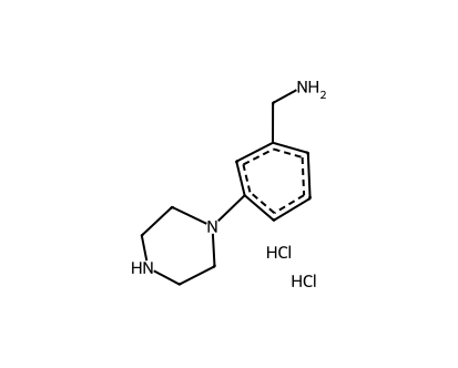 Cl.Cl.NCc1cccc(N2CCNCC2)c1